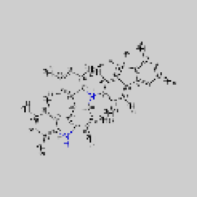 [2H]c1cc([2H])c2c(c1)-c1c([2H])c([2H])c(-n3c4c([2H])cc([2H])cc4c4c5c([nH]c6c([2H])cc([2H])c([2H])c65)c([2H])c([2H])c43)c([2H])c1C2(C)C